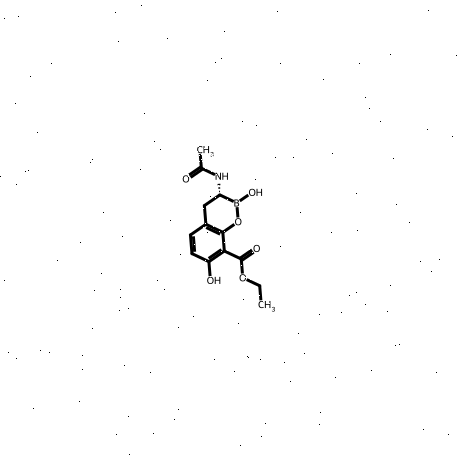 CCOC(=O)c1c(O)ccc2c1OB(O)[C@@H](NC(C)=O)C2